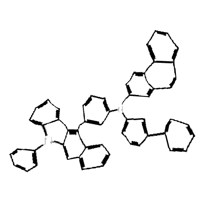 c1ccc(-c2cccc(N(c3cccc(-c4c5ccccc5cc5c4c4ccccc4n5-c4ccccc4)c3)c3ccc4c(ccc5ccccc54)c3)c2)cc1